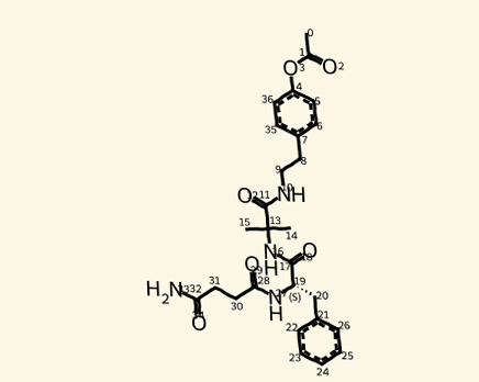 CC(=O)Oc1ccc(CCNC(=O)C(C)(C)NC(=O)[C@H](Cc2ccccc2)NC(=O)CCC(N)=O)cc1